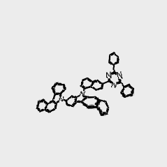 c1ccc(-c2nc(-c3ccccc3)nc(-c3ccc4c(-n5c6cc(-n7c8ccccc8c8c9ccccc9ccc87)ccc6c6cc7ccccc7cc65)cccc4c3)n2)cc1